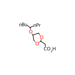 CCCCC(CCC)OC1COC(CC(=O)O)OC1